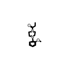 CCC(=O)N1CCN(c2ccccc2OC)CC1